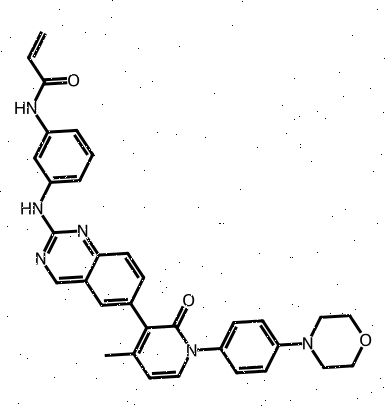 C=CC(=O)Nc1cccc(Nc2ncc3cc(-c4c(C)ccn(-c5ccc(N6CCOCC6)cc5)c4=O)ccc3n2)c1